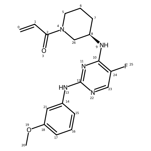 C=CC(=O)N1CCC[C@@H](Nc2nc(Nc3cccc(OC)c3)ncc2F)C1